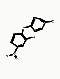 O=[N+]([O-])c1ccc(Sc2ccc(Cl)cc2)c(Cl)c1